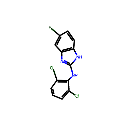 Fc1ccc2[nH]c(Nc3c(Cl)cccc3Cl)nc2c1